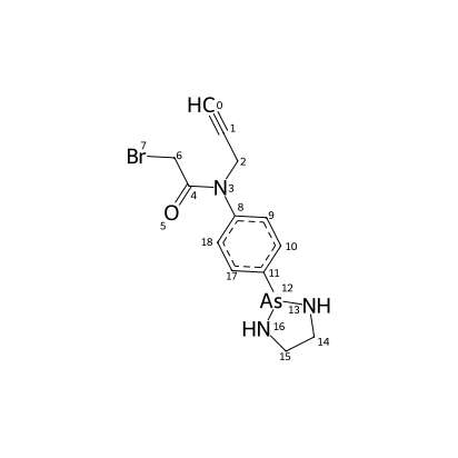 C#CCN(C(=O)CBr)c1ccc([As]2NCCN2)cc1